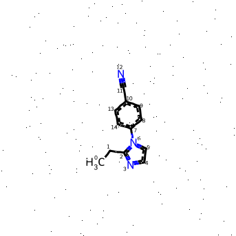 CCc1nccn1-c1ccc(C#N)cc1